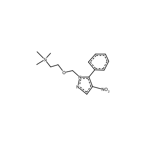 C[Si](C)(C)CCOCn1ncc([N+](=O)[O-])c1-c1ccccc1